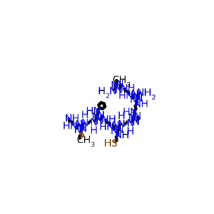 CCSc1nc(NCCN)nc(NCCNc2nc(NCCNc3nc(NCCS)nc(NCCNc4ncnc(NCCNc5nc(N)nc(NCCNc6nc(C)nc(N)n6)n5)n4)n3)nc(Nc3ccccc3)n2)n1